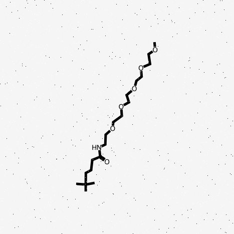 COCCOCCOCCOCCOCCNC(=O)CCCC(C)(C)C